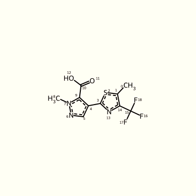 Cc1sc(-c2cnn(C)c2C(=O)O)nc1C(F)(F)F